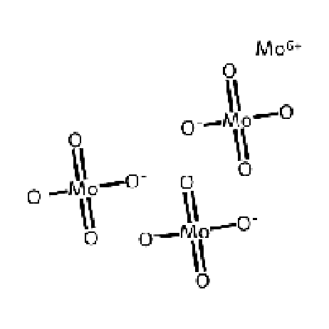 [Mo+6].[O]=[Mo](=[O])([O-])[O-].[O]=[Mo](=[O])([O-])[O-].[O]=[Mo](=[O])([O-])[O-]